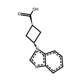 O=C(O)[C@H]1C[C@@H](n2cnc3ccccc32)C1